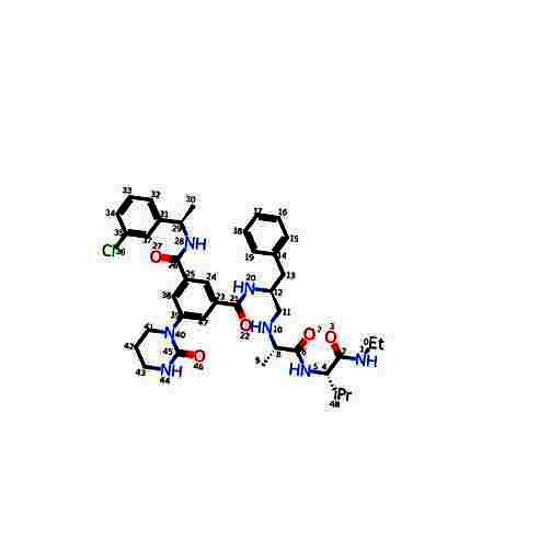 CCNC(=O)[C@@H](NC(=O)[C@H](C)NC[C@H](Cc1ccccc1)NC(=O)c1cc(C(=O)N[C@H](C)c2cccc(Cl)c2)cc(N2CCCNC2=O)c1)C(C)C